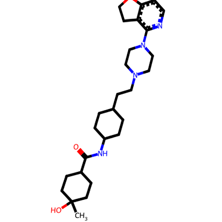 CC1(O)CCC(C(=O)NC2CCC(CCN3CCN(c4nccc5c4CCO5)CC3)CC2)CC1